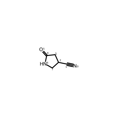 N#CC1[CH]C(=O)NC1